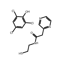 O=C(Cc1cnccn1)NCCS.Oc1c(Cl)cc(Cl)cc1Cl